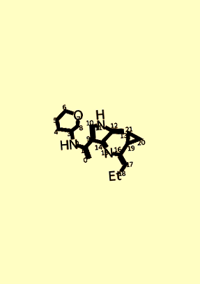 C=C(NC1CCCOC1)C1=CNC(=C)/C1=N\C(=C/CC)C1CC1